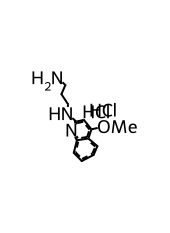 COc1cc(NCCCN)nc2ccccc12.Cl.Cl